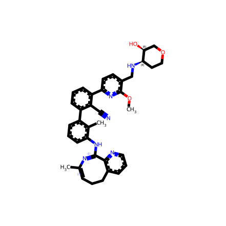 COc1nc(-c2cccc(-c3cccc(N/C4=N/C(C)=C\CCc5cccnc54)c3C)c2C#N)ccc1CN[C@@H]1CCOC[C@@H]1O